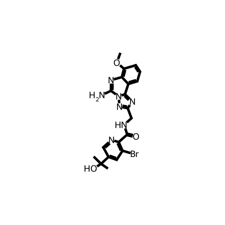 COc1cccc2c1nc(N)n1nc(CNC(=O)c3ncc(C(C)(C)O)cc3Br)nc21